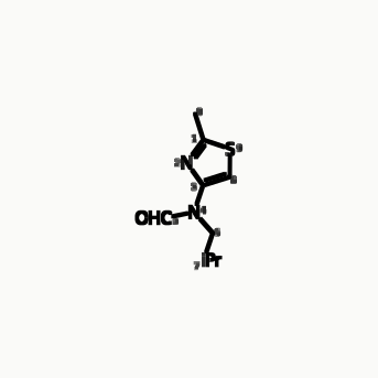 Cc1nc(N(C=O)CC(C)C)cs1